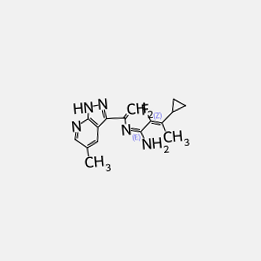 C=C(/N=C(N)\C(F)=C(/C)C1CC1)c1n[nH]c2ncc(C)cc12